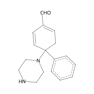 O=CC1=CCC(c2ccccc2)(N2CCNCC2)C=C1